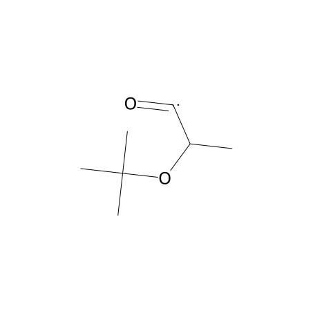 CC([C]=O)OC(C)(C)C